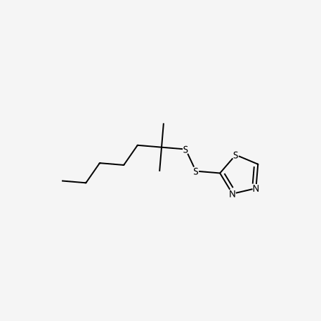 CCCCCC(C)(C)SSc1nncs1